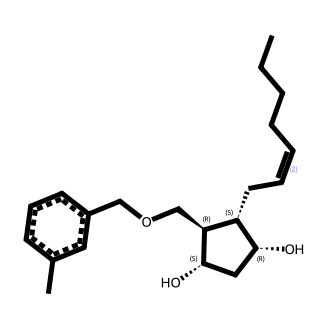 CCCC/C=C\C[C@H]1[C@H](COCc2cccc(C)c2)[C@@H](O)C[C@H]1O